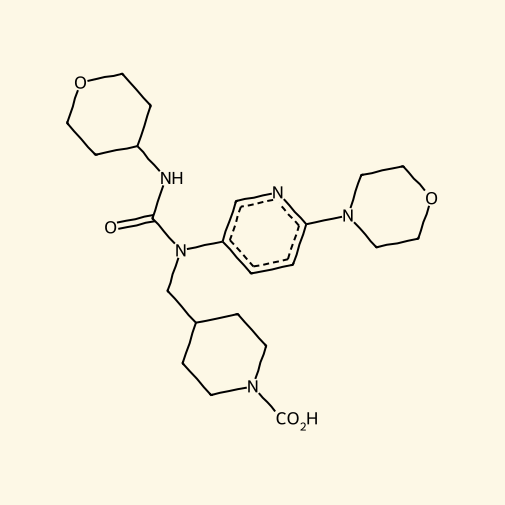 O=C(O)N1CCC(CN(C(=O)NC2CCOCC2)c2ccc(N3CCOCC3)nc2)CC1